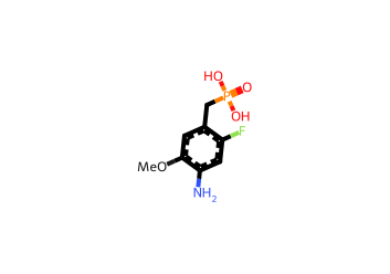 COc1cc(CP(=O)(O)O)c(F)cc1N